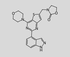 O=C1OCCN1Cc1cc2nc(-c3cccc4[nH]ncc34)nc(N3CCOCC3)c2s1